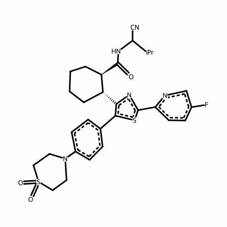 CC(C)C(C#N)NC(=O)[C@@H]1CCCC[C@H]1c1nc(-c2ccc(F)cn2)sc1-c1ccc(N2CCS(=O)(=O)CC2)cc1